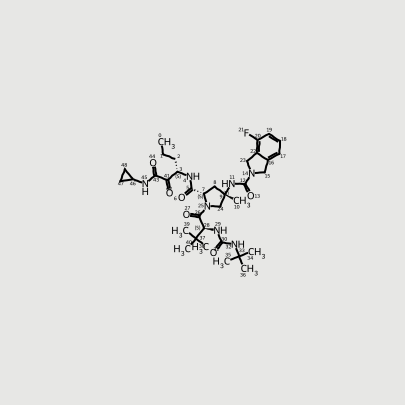 CCC[C@H](NC(=O)[C@@H]1C[C@](C)(NC(=O)N2Cc3cccc(F)c3C2)CN1C(=O)[C@@H](NC(=O)NC(C)(C)C)C(C)(C)C)C(=O)C(=O)NC1CC1